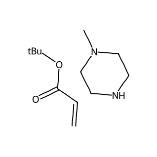 C=CC(=O)OC(C)(C)C.CN1CCNCC1